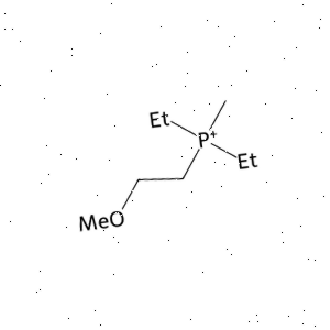 CC[P+](C)(CC)CCOC